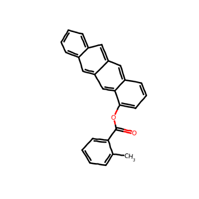 Cc1ccccc1C(=O)Oc1cccc2cc3cc4ccccc4cc3cc12